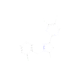 CC(=O)c1cc(-c2ncc(F)c(Cl)n2)nn1Cc1ccccc1F